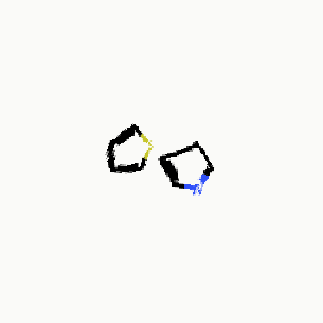 C1=CN=CC1.c1ccsc1